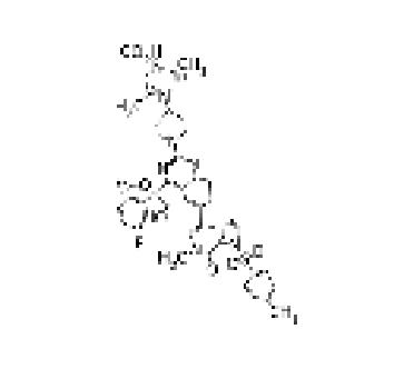 Cc1ccc(S(=O)(=O)n2ccc3c(-c4ccc5nc(N6CCC(N7C[C@@H](C)N(C(=O)O)C[C@@H]7C)CC6)nc(C(CO)(OC6CC6)c6cccc(F)c6)c5c4)cn(C)c(=O)c32)cc1